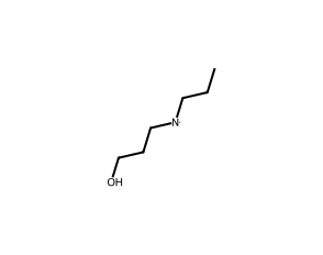 CCC[N]CCCO